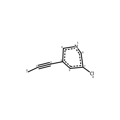 [CH2]C#Cc1cncc(Cl)c1